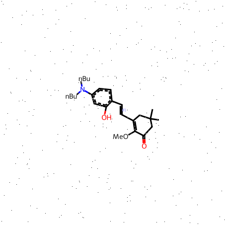 CCCCN(CCCC)c1ccc(/C=C/C2=C(OC)C(=O)CC(C)(C)C2)c(O)c1